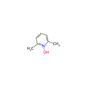 Cc1cccc(C)[n+]1O